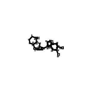 CNC(C[C@H]1NCCC[C@@H]1O)Cn1cnc2cc(Cl)c(Cl)cc21